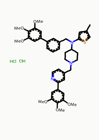 COc1cc(-c2cccc(CN(c3cc(C)cs3)C3CCN(Cc4ccnc(-c5cc(OC)c(OC)c(OC)c5)c4)CC3)c2)cc(OC)c1OC.Cl.Cl